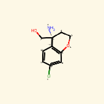 N[C@]1(CO)CCOc2cc(Cl)ccc21